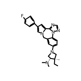 CC[C@]1(C)CN(c2ccc3c(c2)Cn2cc(-c4ccc(F)cc4)cc2-c2ncnn2-3)C[C@H]1N(C)C